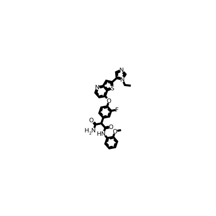 CCn1cncc1-c1cc2nccc(Oc3ccc(C(C(N)=O)C(=O)Nc4ccccc4OC)cc3F)c2s1